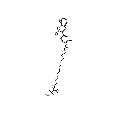 CCC(C)(C)C(=O)OCCCCCCCCCCCCOc1ccc(-c2cc3cccnc3oc2=O)cc1C